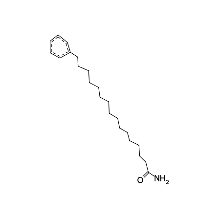 NC(=O)CCCCCCCCCCCCCCCc1ccccc1